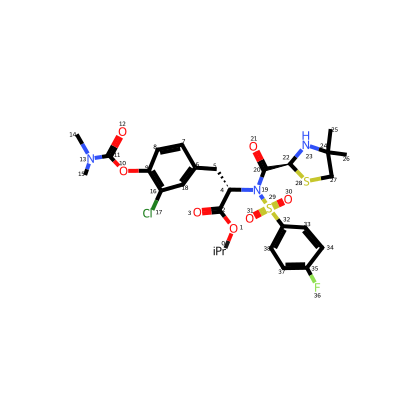 CC(C)OC(=O)[C@H](Cc1ccc(OC(=O)N(C)C)c(Cl)c1)N(C(=O)[C@H]1NC(C)(C)CS1)S(=O)(=O)c1ccc(F)cc1